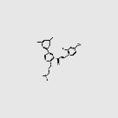 Cc1cc(C)cc(-c2ccc(OCCN(C)C)c(C(=O)/C=C/c3ccc(O)cc3F)c2)c1